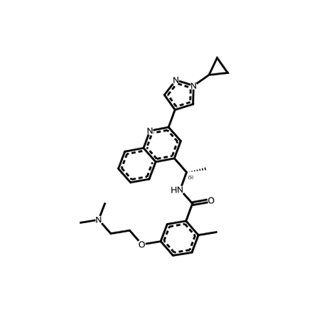 Cc1ccc(OCCN(C)C)cc1C(=O)N[C@@H](C)c1cc(-c2cnn(C3CC3)c2)nc2ccccc12